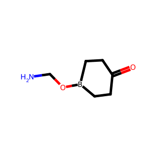 NCOB1CCC(=O)CC1